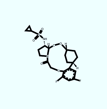 O=C1COc2c(F)cc(F)cc2[C@H]2CC[C@H](CC2)OC[C@H]2[C@@H](NS(=O)(=O)C3CC3)CCN12